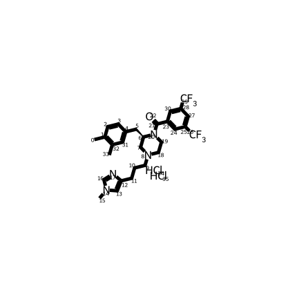 Cc1ccc(C[C@@H]2CN(CCCc3cn(C)cn3)CCN2C(=O)c2cc(C(F)(F)F)cc(C(F)(F)F)c2)cc1C.Cl.Cl